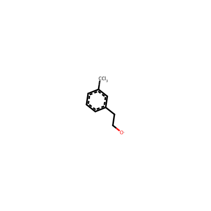 [O]CCc1cccc(C(Cl)(Cl)Cl)c1